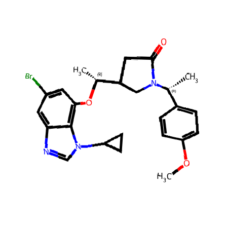 COc1ccc([C@@H](C)N2CC([C@@H](C)Oc3cc(Br)cc4ncn(C5CC5)c34)CC2=O)cc1